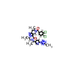 Cc1nnn(-c2ccc([C@H](C)N3C[C@@H](C)n4nc5c(c4C3=O)CN(C(=O)c3ccc(Cl)c(Cl)c3)[C@H](C)C5)cn2)n1